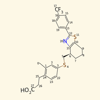 Cc1cc(SC[C@@H]2CCCc3sc(-c4ccc(C(F)(F)F)cc4)nc32)ccc1CCC(=O)O